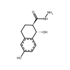 NNC(=O)[C@@H]1CCc2cc(O)ccc2[C@H]1O